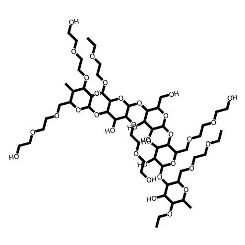 CCOCCOCC1OC(C)C(OCC)C(O)C1OC1OC(COCCOCCO)C(OC2OC(CO)C(OC3OC(COCCOCC)C(OC4OC(COCCOCCO)C(C)C(OCCOCCO)C4O)C(O)C3OCCOCCO)C(O)C2O)C(O)C1O